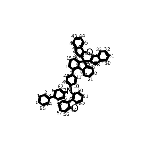 c1ccc(-c2ccc(N(c3ccc(-c4cccc5c4-c4ccccc4C54c5ccc6ccccc6c5Oc5c4ccc4ccccc54)cc3)c3cccc4oc5ccccc5c34)cc2)cc1